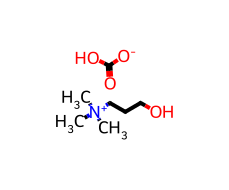 C[N+](C)(C)CCCO.O=C([O-])O